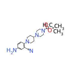 CC(C)(C)OC(=O)N1CCN(C2CCN(c3ccc(N)cc3C#N)CC2)CC1